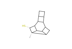 C[C@@]12C3CC4C5C6CCC6C5C(C1C43)[C@H]2S